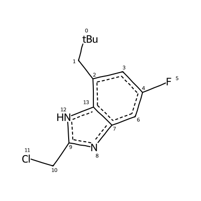 CC(C)(C)Cc1cc(F)cc2nc(CCl)[nH]c12